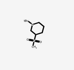 CC(C)(C)N1CCCC(S(C)(=O)=O)C1